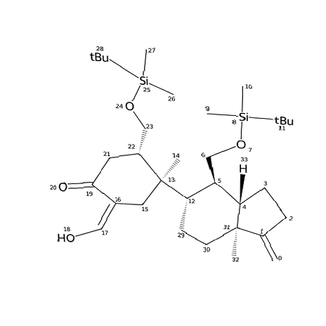 C=C1CC[C@H]2[C@H](CO[Si](C)(C)C(C)(C)C)[C@@H]([C@@]3(C)C/C(=C/O)C(=O)C[C@@H]3CO[Si](C)(C)C(C)(C)C)CC[C@]12C